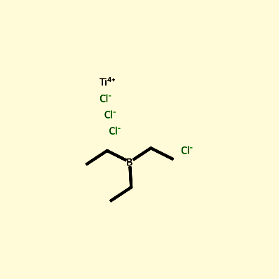 CCB(CC)CC.[Cl-].[Cl-].[Cl-].[Cl-].[Ti+4]